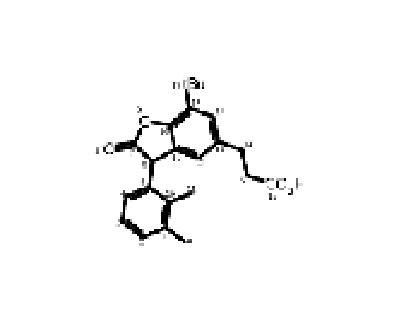 Cc1cccc(C2C(=O)Oc3c2cc(CCC(=O)O)cc3C(C)(C)C)c1C